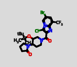 CC(C)(C)[Si](C)(C)OC1CN(C(=O)c2nc3c(C(F)(F)F)cc(Br)cn3c2Cl)CCC1N1CCCC1=O